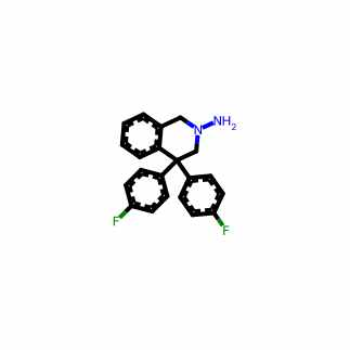 NN1Cc2ccccc2C(c2ccc(F)cc2)(c2ccc(F)cc2)C1